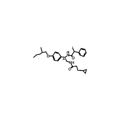 CCCC(C)COc1ccc([C@H](CNC(=O)CCC2CC2)NC(=O)C(I)c2ccccc2)cc1